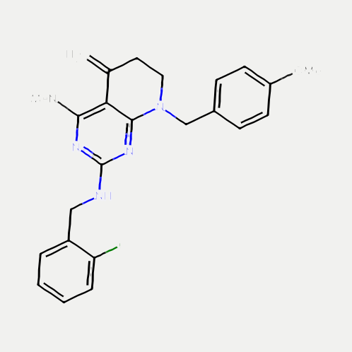 C=C1CCN(Cc2ccc(OC)cc2)c2nc(NCc3ccccc3Cl)nc(NC)c21